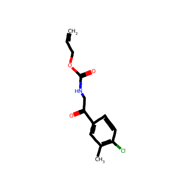 C=CCOC(=O)NCC(=O)c1ccc(Cl)c(C)c1